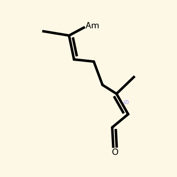 C[C]([Am])=CCC/C(C)=C\C=O